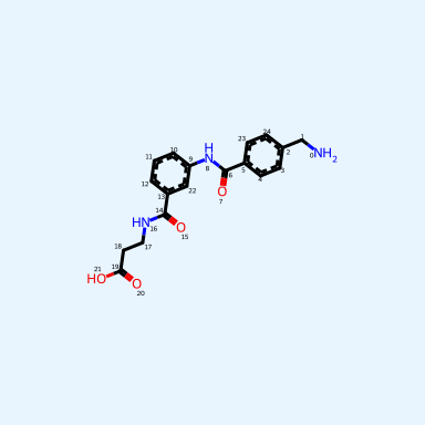 NCc1ccc(C(=O)Nc2cccc(C(=O)NCCC(=O)O)c2)cc1